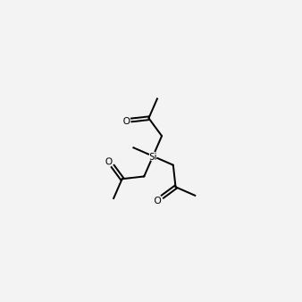 CC(=O)C[Si](C)(CC(C)=O)CC(C)=O